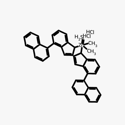 Cl.Cl.[CH3][Zr]([CH3])(=[SiH2])([CH]1C=Cc2c(-c3cccc4ccccc34)cccc21)[CH]1C=Cc2c(-c3cccc4ccccc34)cccc21